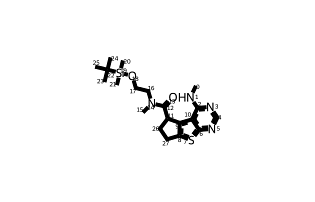 CNc1ncnc2sc3c(c12)C(C(=O)N(C)CCO[Si](C)(C)C(C)(C)C)CC3